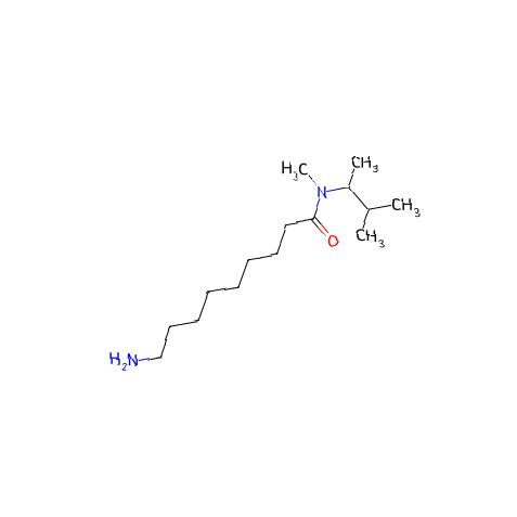 CC(C)C(C)N(C)C(=O)CCCCCCCCN